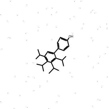 CC(C)c1cc(-c2ccc(O)cc2)c(C(C)C)c(C(C)C)c1C(C)C